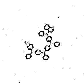 Cc1ccc(N(c2ccccc2)c2ccc(N(c3ccccc3)c3ccc(N(c4ccccc4)c4ccc(N(c5ccccc5)c5ccnc6ccccc56)cc4)cc3)cc2)cc1